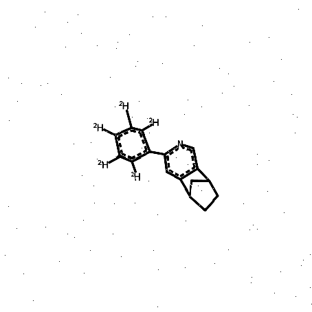 [2H]c1c([2H])c([2H])c(-c2cc3c(cn2)C2CCC3C2)c([2H])c1[2H]